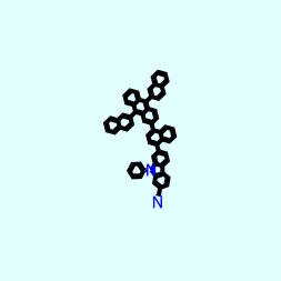 N#Cc1ccc2c3ccc(-c4ccc(-c5ccc6c(-c7ccc8ccccc8c7)c7ccccc7c(-c7ccc8ccccc8c7)c6c5)c5ccccc45)cc3n(-c3ccccc3)c2c1